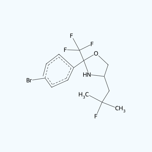 CC(C)(F)CC1COC(c2ccc(Br)cc2)(C(F)(F)F)N1